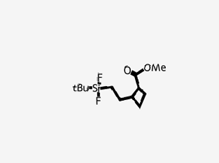 COC(=O)C1CCC1CC[Si](F)(F)C(C)(C)C